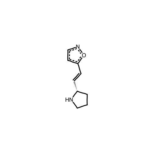 C(=C[C@@H]1CCCN1)c1ccno1